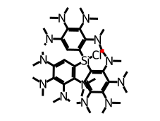 CN(C)c1cc([Si](Cl)(c2cc(N(C)C)c(N(C)C)c(N(C)C)c2N(C)C)c2cc(N(C)C)c(N(C)C)c(N(C)C)c2N(C)C)c(N(C)C)c(N(C)C)c1N(C)C